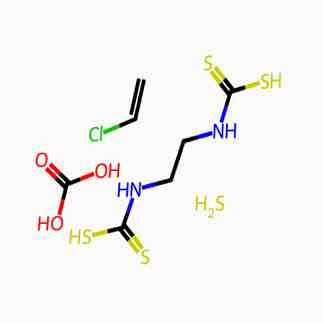 C=CCl.O=C(O)O.S.S=C(S)NCCNC(=S)S